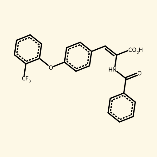 O=C(O)C(=Cc1ccc(Oc2ccccc2C(F)(F)F)cc1)NC(=O)c1ccccc1